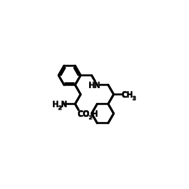 CC(CNCc1ccccc1CC(N)C(=O)O)C1CCCCC1